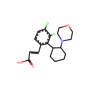 O=C(O)C=Cc1ccc(Cl)c(Cl)c1C1CCCCC1N1CCOCC1